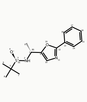 C[C@@H](N[S@+]([O-])C(C)(C)C)c1cnc(-c2ccccc2)o1